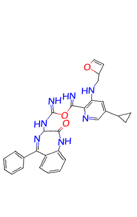 N=C(NC1N=C(c2ccccc2)c2ccccc2NC1=O)OC(=N)c1ncc(C2CC2)cc1NCC1C=CO1